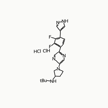 CC(C)(C)NC1CCN(c2cnc(-c3ccc(-c4cn[nH]c4)c(F)c3F)cn2)C1.Cl.Cl